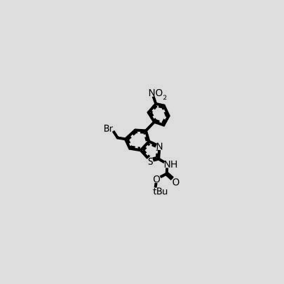 CC(C)(C)OC(=O)Nc1nc2c(-c3cccc([N+](=O)[O-])c3)cc(CBr)cc2s1